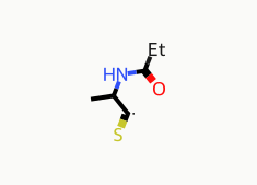 CCC(=O)NC(C)[C]=S